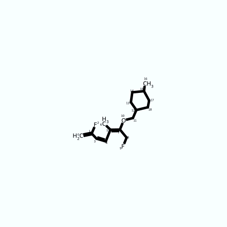 C=C(F)/C=C\C(C)=C(/CF)OCC1CCC(C)CC1